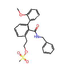 COc1ccccc1-c1cccc(CCOS(C)(=O)=O)c1C(=O)NCc1ccccc1